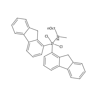 CCCCCCCC[SiH](C)[Zr]([Cl])([Cl])([c]1cccc2c1Cc1ccccc1-2)[c]1cccc2c1Cc1ccccc1-2